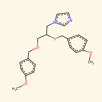 COc1ccc(COCC(Cn2ccnc2)SCc2ccc(OC)cc2)cc1